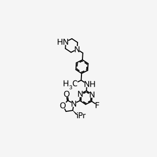 CC(Nc1nc(F)cc(N2C(=O)OC[C@@H]2C(C)C)n1)c1ccc(CN2CCNCC2)cc1